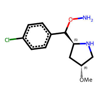 CO[C@H]1CN[C@H](C(ON)c2ccc(Cl)cc2)C1